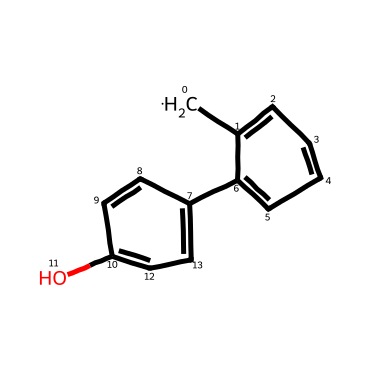 [CH2]c1ccccc1-c1ccc(O)cc1